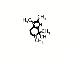 Cc1nc2c(n1C)CCN(C)C2(C)C